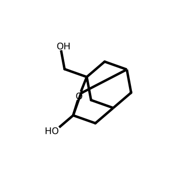 OCC12CC3CC(CC(O)(C3)O1)C2